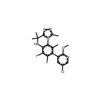 COc1ncc(Cl)cc1-c1c(C)c2c(c(F)c1F)NC(C)(C)c1nnc(C)n1-2